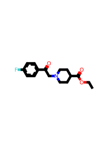 CCOC(=O)C1CCN(CC(=O)c2ccc(F)cc2)CC1